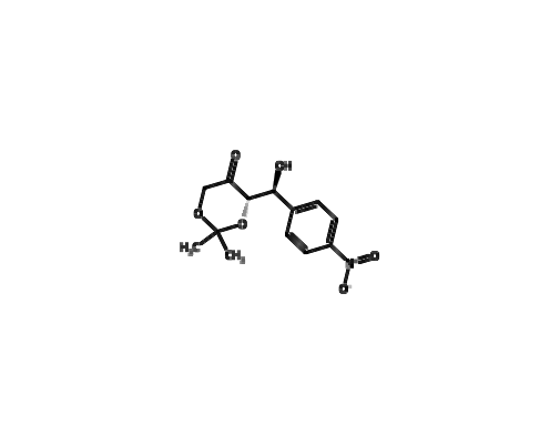 CC1(C)OCC(=O)[C@H]([C@@H](O)c2ccc([N+](=O)[O-])cc2)O1